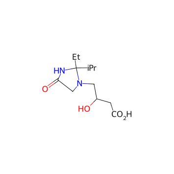 CCC1(C(C)C)NC(=O)CN1CC(O)CC(=O)O